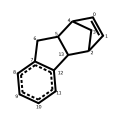 C1=CC2CC1C1Cc3ccccc3C21